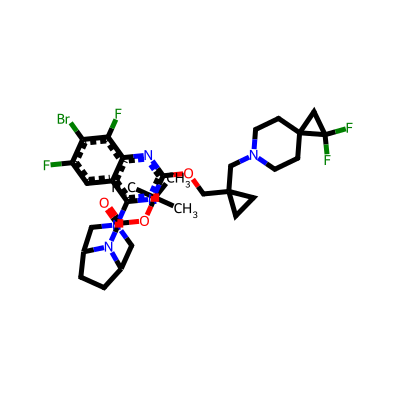 CC(C)(C)OC(=O)N1C2CCC1CN(c1nc(OCC3(CN4CCC5(CC4)CC5(F)F)CC3)nc3c(F)c(Br)c(F)cc13)C2